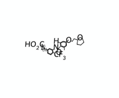 Cc1cc(OCCC2CCCCO2)cc(C)c1C(=O)Nc1cc([C@H]2C[C@H]2C(=O)O)ccc1C(F)(F)F